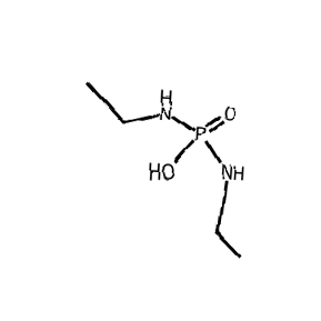 CCNP(=O)(O)NCC